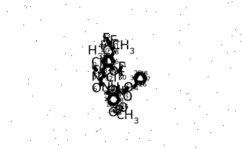 CCn1nc(C(=O)NCC2(O)CCC(S(C)(=O)=O)CC2NC(=O)OCc2ccccc2)c(Cl)c1-c1ccc(CC(C)(C)C(F)(F)F)cc1OC(F)F